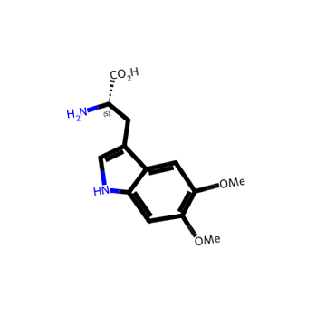 COc1cc2[nH]cc(C[C@H](N)C(=O)O)c2cc1OC